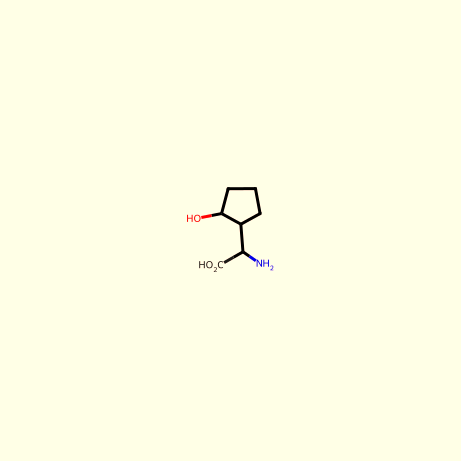 NC(C(=O)O)C1CCCC1O